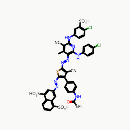 CCCC(=O)Nc1ccc(-c2c(/N=N/c3cc(S(=O)(=O)O)c4cccc(S(=O)(=O)O)c4c3)sc(N=Nc3c(Nc4ccc(Cl)cc4)nc(Nc4ccc(Cl)c(S(=O)(=O)O)c4)c(C#N)c3C)c2C#N)cc1